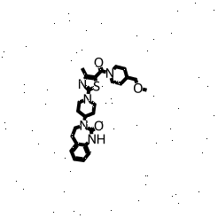 COCC1CCN(C(=O)c2sc(N3CCC(N4CCc5ccccc5NC4=O)CC3)nc2C)CC1